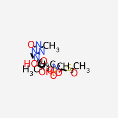 CC(=O)SCCOP(=O)(OC[C@H]1O[C@@H](n2ccn3c(=O)nc(C)nc23)C(C)(O)[C@H]1O)N(C)C